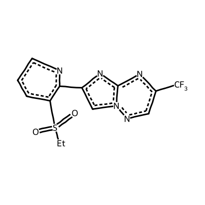 CCS(=O)(=O)c1cccnc1-c1cn2ncc(C(F)(F)F)nc2n1